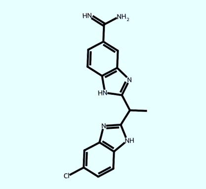 CC(c1nc2cc(Cl)ccc2[nH]1)c1nc2cc(C(=N)N)ccc2[nH]1